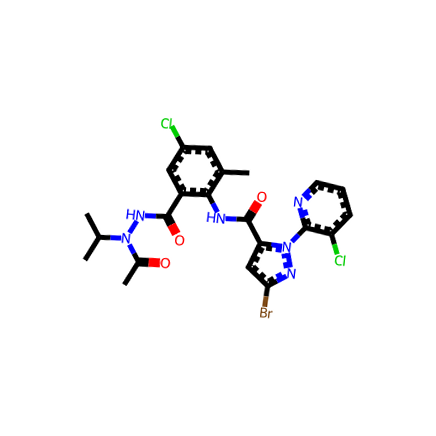 CC(=O)N(NC(=O)c1cc(Cl)cc(C)c1NC(=O)c1cc(Br)nn1-c1ncccc1Cl)C(C)C